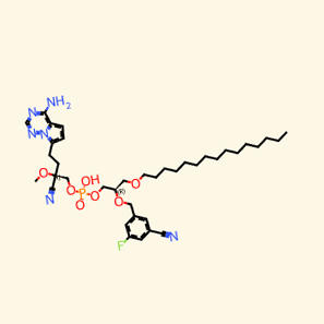 CCCCCCCCCCCCCCCOC[C@H](COP(=O)(O)OC[C@](C#N)(CCc1ccc2c(N)ncnn12)OC)OCc1cc(F)cc(C#N)c1